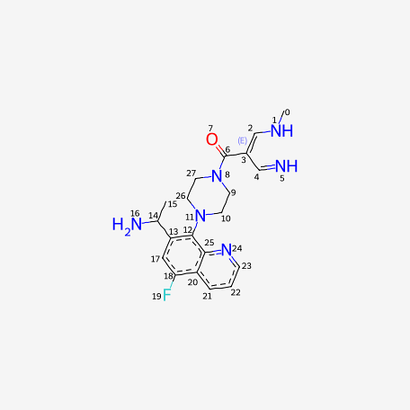 CN/C=C(\C=N)C(=O)N1CCN(c2c(C(C)N)cc(F)c3cccnc23)CC1